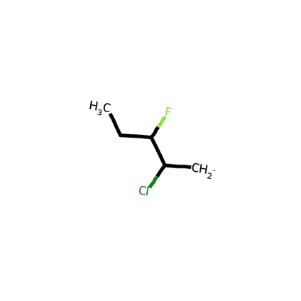 [CH2]C(Cl)C(F)CC